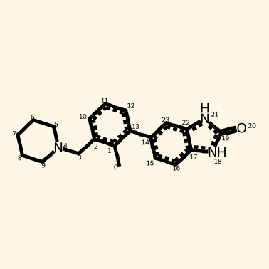 Cc1c(CN2CCCCC2)cccc1-c1ccc2[nH]c(=O)[nH]c2c1